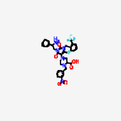 Cc1c(N2CCN(Cc3cccc([N+](=O)[O-])c3)C(C(=O)O)C2)c(=O)n(CC(N)c2ccccc2)c(=O)n1Cc1c(F)cccc1C(F)(F)F